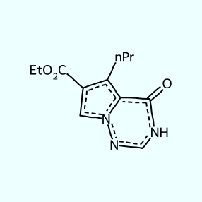 CCCc1c(C(=O)OCC)cn2nc[nH]c(=O)c12